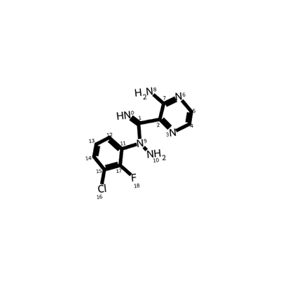 N=C(c1nccnc1N)N(N)c1cccc(Cl)c1F